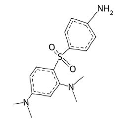 CN(C)c1ccc(S(=O)(=O)c2ccc(N)cc2)c(N(C)C)c1